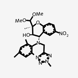 COC(OC)[C@@]1(C)Oc2ccc([N+](=O)[O-])cc2[C@H](N(Cc2nnn(C)n2)c2c(C)cc(C)cc2C)[C@H]1O